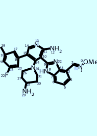 CO/N=C/c1cccc2[nH]c(-c3c(N)ncc(-c4cc(C)cc(F)c4)c3N3CCC(N)CC3)nc12